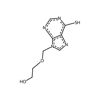 OCCOCn1cnc2c(S)ncnc21